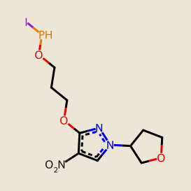 O=[N+]([O-])c1cn(C2CCOC2)nc1OCCCOPI